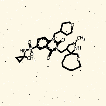 CN1CC(Cn2c(=O)c3cc(S(=O)(=O)NC4(C)CC4)ccc3n(CC3CCOCC3)c2=O)C2(CCCCCCCC2)N1